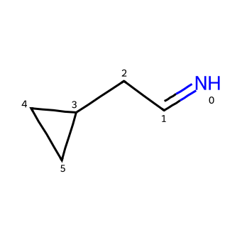 N=CCC1CC1